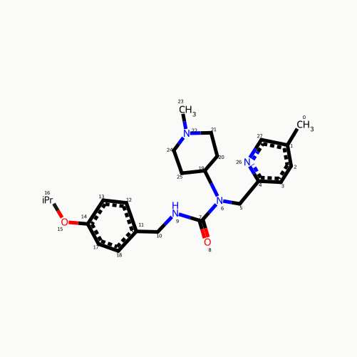 Cc1ccc(CN(C(=O)NCc2ccc(OC(C)C)cc2)C2CCN(C)CC2)nc1